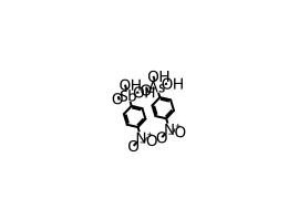 O=[N+]([O-])c1cc[c]([Sb](=[O])([OH])[OH])cc1.O=[N+]([O-])c1ccc([As](=O)(O)O)cc1